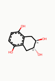 Oc1ccc(O)c2c1C[C@@H](O)[C@H](O)C2